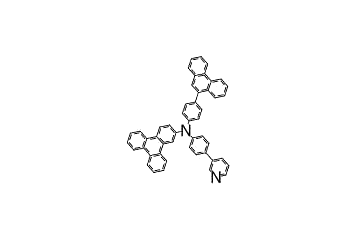 c1cncc(-c2ccc(N(c3ccc(-c4cc5ccccc5c5ccccc45)cc3)c3ccc4c5ccccc5c5ccccc5c4c3)cc2)c1